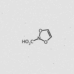 O=C(O)N1OC=CO1